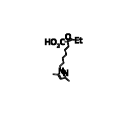 CCC1OC1(CCCCCCn1nc(C)cc1C)C(=O)O